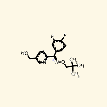 CC(C)(O)CO/N=C(\c1ccc(F)c(F)c1)c1ccc(CO)cn1